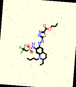 CCCCN1c2cc(NS(=O)(=O)CC(F)(F)F)c(N=Nc3nnc(C(=O)OCCC)s3)cc2CCC1CC